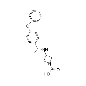 CC(NC1CN(C(=O)O)C1)c1ccc(Oc2ccccc2)cc1